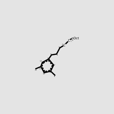 CCCCCCCCCCCCCc1cc(C)[c]c(C)c1